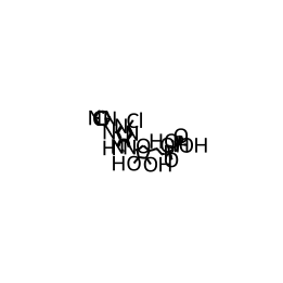 O=P(O)(O)CP(=O)(O)CCC1OC(n2cnc3c(NC4CN5CCN4CC5)nc(Cl)nc32)C(O)C1O